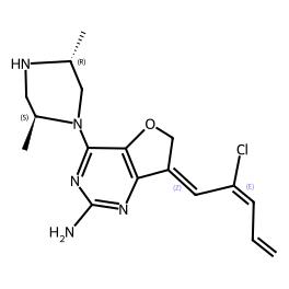 C=C/C=C(Cl)\C=C1/COc2c1nc(N)nc2N1C[C@@H](C)NC[C@@H]1C